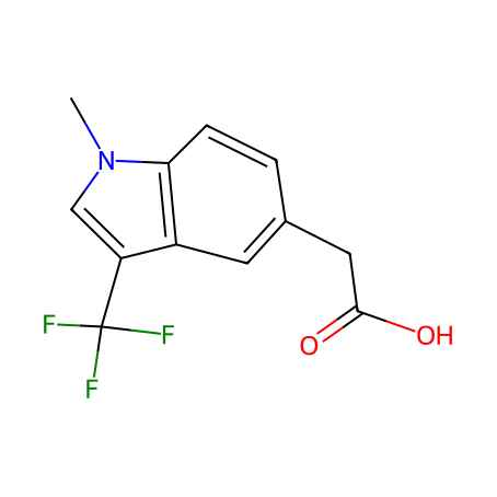 Cn1cc(C(F)(F)F)c2cc(CC(=O)O)ccc21